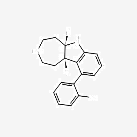 Clc1ccccc1-c1cccc2c1[C@@H]1CCNCC[C@@H]1N2